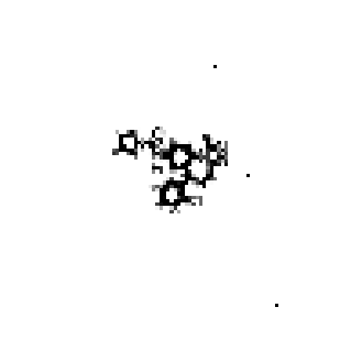 Cc1nnc2n1-c1ccc(NC(=O)N3CCCC3)cc1C(c1ccccc1Cl)=NC2